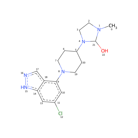 CN1CCN(C2CCN(c3cc(Cl)cc4[nH]ncc34)CC2)C1O